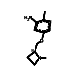 Cc1ncc(OC[C@@H]2CCN2C)cc1N